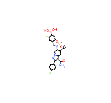 CS(=O)(=O)N(Cc1ccc(B(O)O)c(F)c1)c1cn2nc(-c3ccc(F)cc3)c(C(N)=O)c2cc1C1CC1